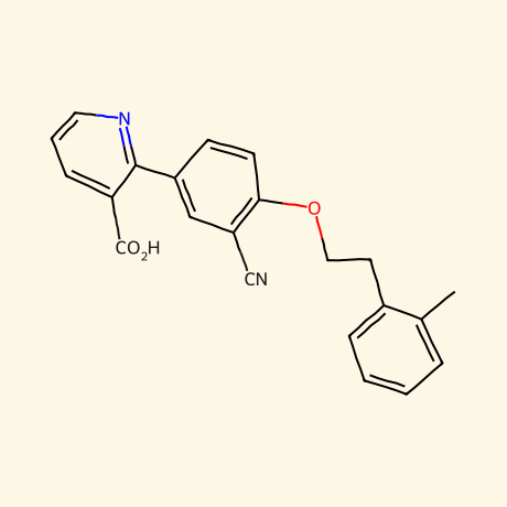 Cc1ccccc1CCOc1ccc(-c2ncccc2C(=O)O)cc1C#N